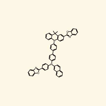 CC1(C)c2ccccc2N(c2ccc(-c3ccc(N(c4ccc(-c5nc6ccccc6o5)cc4)c4ccc5ccccc5c4)cc3)cc2)c2ccc(-c3nc4ccccc4o3)cc21